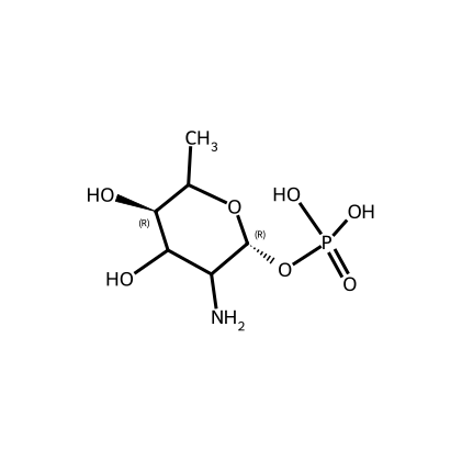 CC1O[C@H](OP(=O)(O)O)C(N)C(O)[C@H]1O